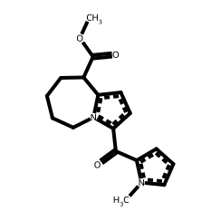 COC(=O)C1CCCCn2c(C(=O)c3cccn3C)ccc21